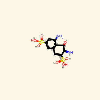 N=C1C(=O)c2c(N)cc(S(=O)(=O)O)cc2C=C1S(=O)(=O)O